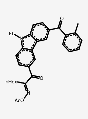 CCCCCC/C(=N\OC(C)=O)C(=O)c1ccc2c(c1)c1cc(C(=O)c3ccccc3C)ccc1n2CC